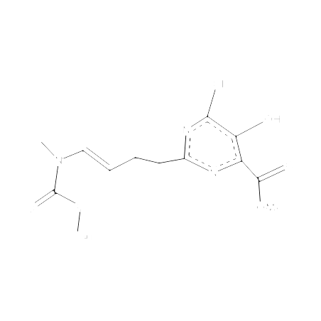 COC(=O)c1nc(CCC=CN(C)C(=O)OC(C)(C)C)nc(O)c1O